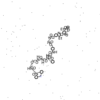 CCc1c2c(nc3ccc(OC(=O)N(C)CCN(C)C(=O)OCc4ccc(NC(=O)CNC(=O)[C@H](Cc5ccccc5)NC(=O)CNC(=O)CNC(=O)CC(C)(C)OCCC(C)(C)NC(=O)CCC(=O)N5Cc6ccccc6/C=C\c6ccccc65)cc4)cc13)-c1cc3c(c(=O)n1C2)COC(=O)[C@]3(O)CC